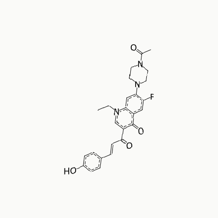 CCn1cc(C(=O)C=Cc2ccc(O)cc2)c(=O)c2cc(F)c(N3CCN(C(C)=O)CC3)cc21